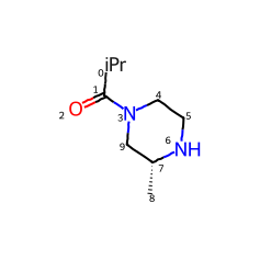 CC(C)C(=O)N1CCN[C@H](C)C1